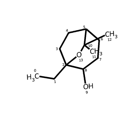 CCC12CCC(CCC1O)C(C)(C)O2